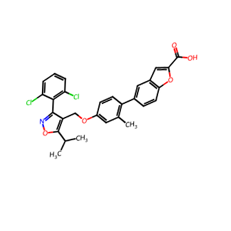 Cc1cc(OCc2c(-c3c(Cl)cccc3Cl)noc2C(C)C)ccc1-c1ccc2oc(C(=O)O)cc2c1